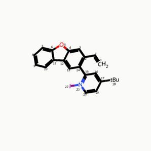 C=Cc1cc2oc3ccccc3c2cc1-c1cc(C(C)(C)C)cc[n+]1I